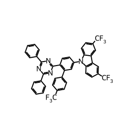 FC(F)(F)c1ccc(-c2cc(-n3c4ccc(C(F)(F)F)cc4c4cc(C(F)(F)F)ccc43)ccc2-c2nc(-c3ccccc3)nc(-c3ccccc3)n2)cc1